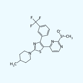 CC1CCN(c2nc(-c3cccc(C(F)(F)F)c3)c(-c3ccnc([S+](C)[O-])n3)s2)CC1